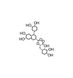 O=C(O[C@H](Cc1ccc(O)c(O)c1)C(=O)O)c1cc(-c2ccc(O)c(O)c2)c2cc(O)c(O)cc2c1